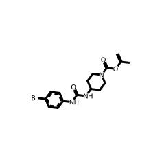 C=C(C)OC(=O)N1CCC(NC(=O)Nc2ccc(Br)cc2)CC1